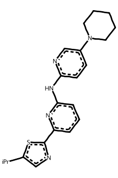 CC(C)c1cnc(-c2cccc(Nc3ccc(N4CCCCC4)cn3)n2)s1